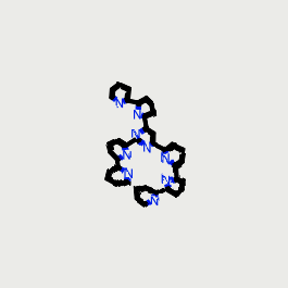 c1ccc(-c2cccc(-c3cccc(-c4cc(-c5cccc(-c6ccccn6)n5)nc(-c5cccc(-c6ccccn6)n5)n4)n3)n2)nc1